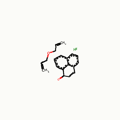 C=CCOCC=C.F.O=C1C=Cc2cccc3cccc1c23